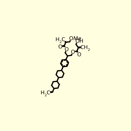 C=CC1CCC(C2CCC(c3ccc(C(COC(=O)C(=C)CO)COC(=O)C(=C)COC)cc3)CC2)CC1